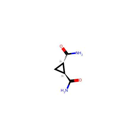 NC(=O)[C@H]1C[C@@H]1C(N)=O